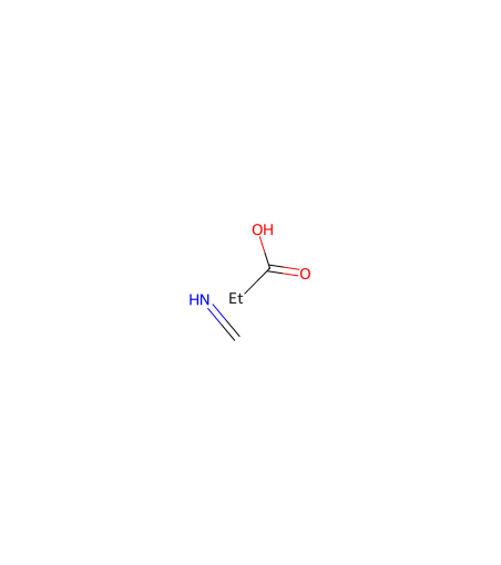 C=N.CCC(=O)O